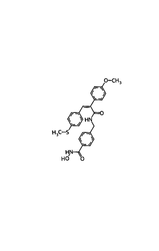 COc1ccc(C(=Cc2ccc(SC)cc2)C(=O)NCc2ccc(C(=O)NO)cc2)cc1